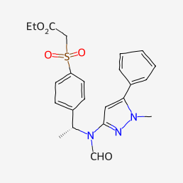 CCOC(=O)CS(=O)(=O)c1ccc([C@@H](C)N(C=O)c2cc(-c3ccccc3)n(C)n2)cc1